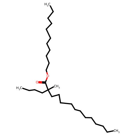 CCCCCCCCCCCCC(C)(CCCC)C(=O)OCCCCCCCCCCC